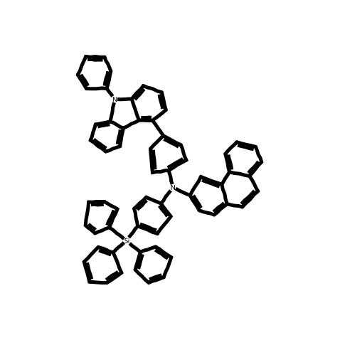 c1ccc(-n2c3ccccc3c3c(-c4ccc(N(c5ccc([Si](c6ccccc6)(c6ccccc6)c6ccccc6)cc5)c5ccc6ccc7ccccc7c6c5)cc4)cccc32)cc1